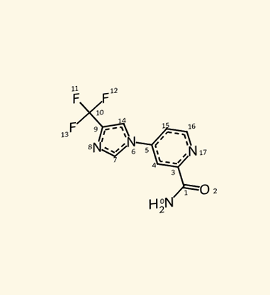 NC(=O)c1cc(-n2cnc(C(F)(F)F)c2)ccn1